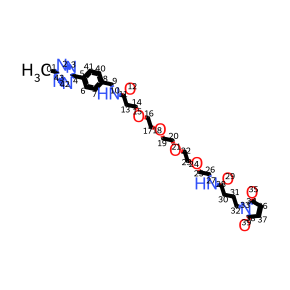 Cc1nnc(-c2ccc(CNC(=O)CCOCCOCCOCCOCCNC(=O)CCCN3C(=O)C=CC3=O)cc2)nn1